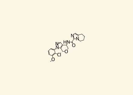 COc1cccc(-n2ncc3c2COC[C@@H]3NC(=O)c2ncc3n2CCCC3)c1Cl